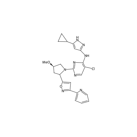 CO[C@@H]1CC(c2cc(-c3ccccn3)no2)N(c2ncc(Cl)c(Nc3cc(C4CC4)[nH]n3)n2)C1